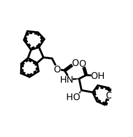 O=C(N[C@@H](C(=O)O)[C@@H](O)c1ccccc1)OCC1c2ccccc2-c2ccccc21